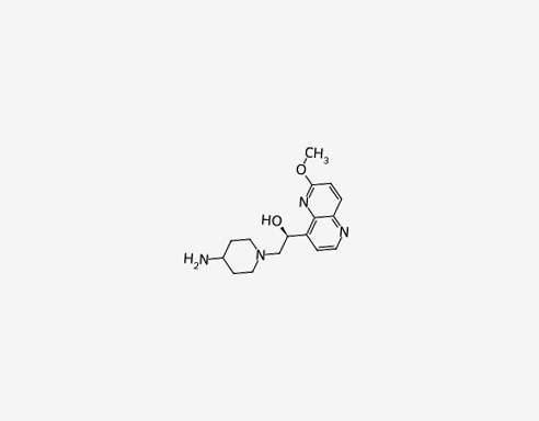 COc1ccc2nccc([C@H](O)CN3CCC(N)CC3)c2n1